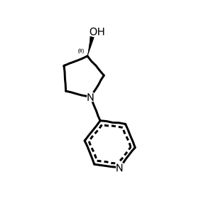 O[C@@H]1CCN(c2ccncc2)C1